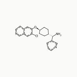 NC(c1cccnc1)[C@H]1CC[C@H](Oc2cc3ccncc3cc2Cl)CC1